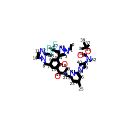 CCn1cc(-c2cc(Cn3ccnc3C)cc3c2OC/C(=C\c2cc(C)cc(N4CC(N(C)C(=O)OC(C)(C)C)C4)n2)C3=O)c(C(F)(F)F)n1